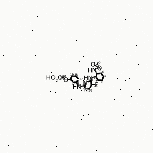 CS(=O)(=O)Nc1ccccc1Nc1nc(Nc2cccc(OCC(=O)O)c2)ncc1F